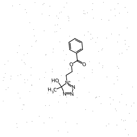 CC1(O)N=NN=[N+]1CCOC(=O)c1ccccc1